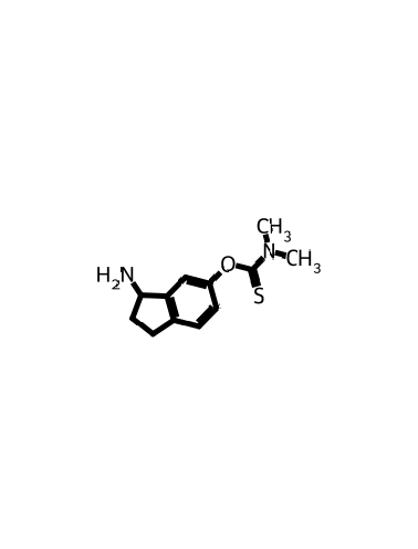 CN(C)C(=S)Oc1ccc2c(c1)C(N)CC2